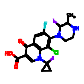 CC1NCCN(c2c(F)cc3c(=O)c(C(=O)O)cn(C4(I)CC4)c3c2Cl)C1I